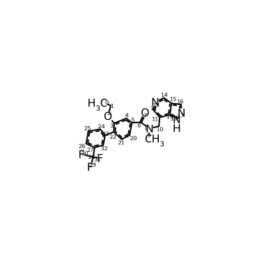 CCOc1cc(C(=O)N(C)Cc2cncc3cn[nH]c23)ccc1-c1cccc(C(F)(F)F)c1